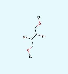 CCOCC(Br)=C(Br)COCC